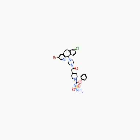 NS(=O)(=O)N=C(Oc1ccccc1)N1CCC(CC(=O)N2CCN(C3c4ccc(Cl)cc4CCc4cc(Br)cnc43)CC2)CC1